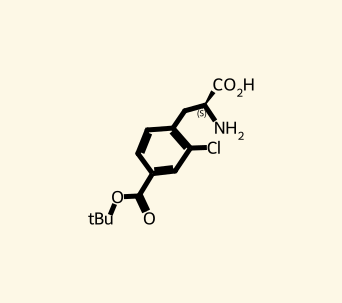 CC(C)(C)OC(=O)c1ccc(C[C@H](N)C(=O)O)c(Cl)c1